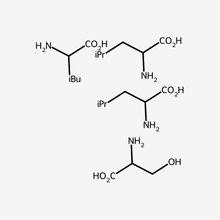 CC(C)CC(N)C(=O)O.CC(C)CC(N)C(=O)O.CCC(C)C(N)C(=O)O.NC(CO)C(=O)O